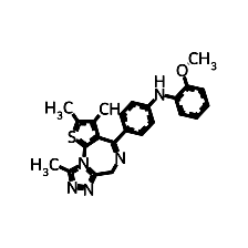 COc1ccccc1Nc1ccc(C2=NCc3nnc(C)n3-c3sc(C)c(C)c32)cc1